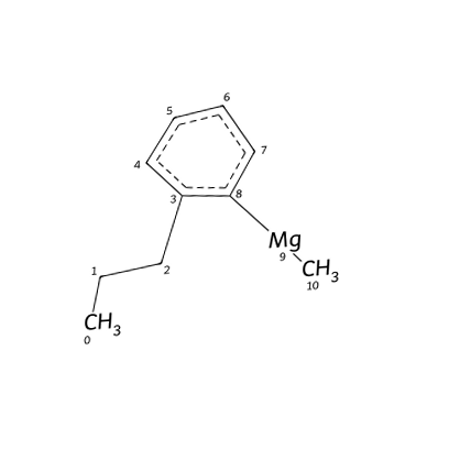 CCCc1cccc[c]1[Mg][CH3]